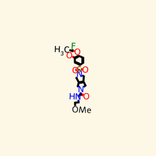 COCCNC(=O)N1CC2=C(C1)CN(S(=O)(=O)c1ccc3c(c1)OC(C)(F)O3)C2